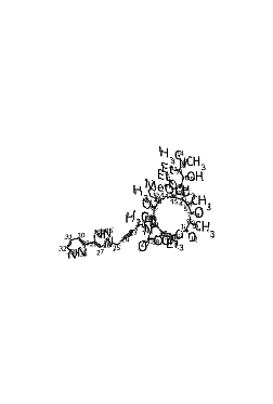 CCO[C@@H](O[C@@H]1[C@@H](C)C(=O)[C@@H](C)C(=O)O[C@H](CC)[C@@]2(C)OC(=O)N(CC#CCn3cc(-c4cccnn4)nn3)[C@@H]2[C@@H](C)C(=O)[C@H](C)C[C@@]1(C)OC)C(O)C(CC)N(C)C